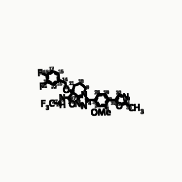 COc1cc(-c2nnc3n2CCCC3(OCc2ccc(F)c(F)c2)C(=O)NCC(F)(F)F)ccc1-c1cnc(C)o1